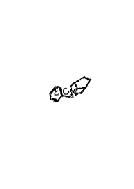 CCOC(=O)C1C2CCC1CN(Cc1ccccc1)C2